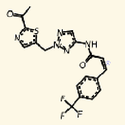 CC(=O)c1ncc(Cn2ncc(NC(=O)/C=C\c3ccc(C(F)(F)F)cc3)n2)s1